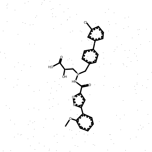 COc1ccccc1-c1cc(C(=O)NN(Cc2ccc(-c3cccc(Cl)c3)cc2)CC(O)C(=O)O)on1